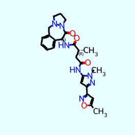 Cc1cc(-c2cc(NC(=O)C[C@@H](C)C(=O)N[C@@H]3C(=O)N4CCCN4Cc4ccccc43)n(C)n2)no1